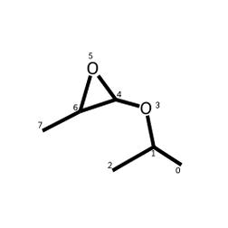 CC(C)OC1OC1C